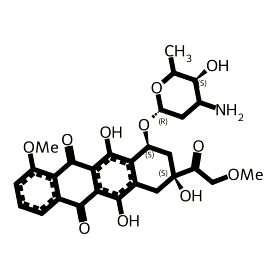 COCC(=O)[C@]1(O)Cc2c(O)c3c(c(O)c2[C@@H](O[C@H]2CC(N)[C@H](O)C(C)O2)C1)C(=O)c1c(OC)cccc1C3=O